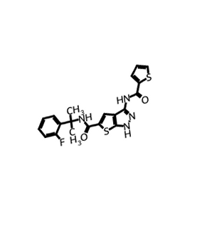 CC(C)(NC(=O)c1cc2c(NC(=O)c3cccs3)n[nH]c2s1)c1ccccc1F